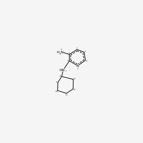 Nc1cccnc1NC1CCCCC1